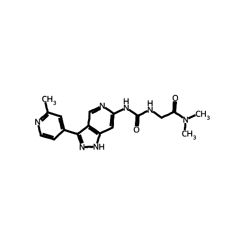 Cc1cc(-c2n[nH]c3cc(NC(=O)NCC(=O)N(C)C)ncc23)ccn1